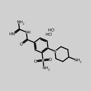 Cl.Cl.N=C(N)NC(=O)c1ccc(N2CCC(N)CC2)c(S(N)(=O)=O)c1